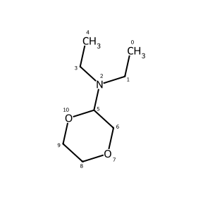 CCN(CC)C1COCCO1